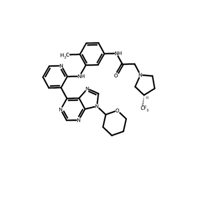 Cc1ccc(NC(=O)CN2CC[C@H](C(F)(F)F)C2)cc1Nc1ncccc1-c1ncnc2c1ncn2C1CCCCO1